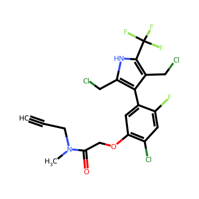 C#CCN(C)C(=O)COc1cc(-c2c(CCl)[nH]c(C(F)(F)F)c2CCl)c(F)cc1Cl